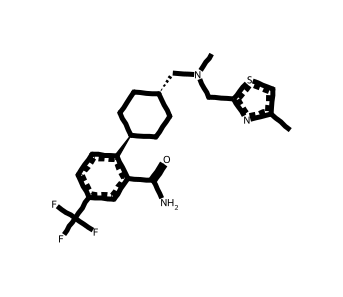 Cc1csc(CN(C)C[C@H]2CC[C@H](c3ccc(C(F)(F)F)cc3C(N)=O)CC2)n1